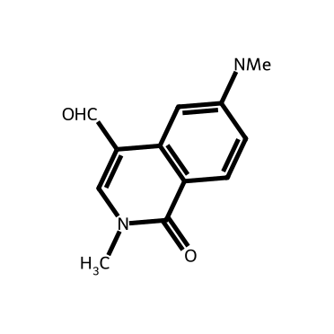 CNc1ccc2c(=O)n(C)cc(C=O)c2c1